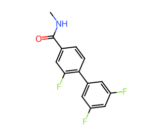 CNC(=O)c1ccc(-c2cc(F)cc(F)c2)c(F)c1